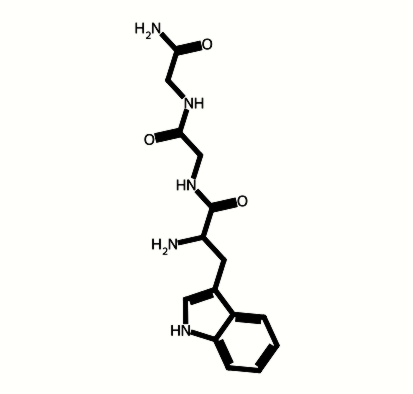 NC(=O)CNC(=O)CNC(=O)C(N)Cc1c[nH]c2ccccc12